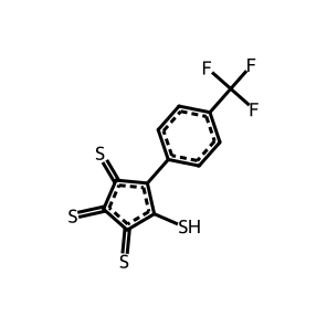 FC(F)(F)c1ccc(-c2c(S)c(=S)c(=S)c2=S)cc1